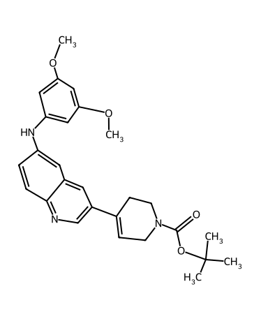 COc1cc(Nc2ccc3ncc(C4=CCN(C(=O)OC(C)(C)C)CC4)cc3c2)cc(OC)c1